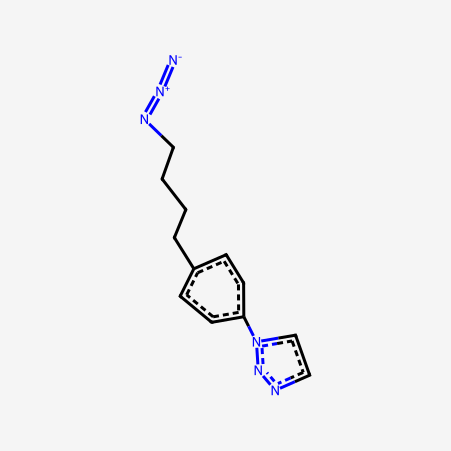 [N-]=[N+]=NCCCCc1ccc(-n2ccnn2)cc1